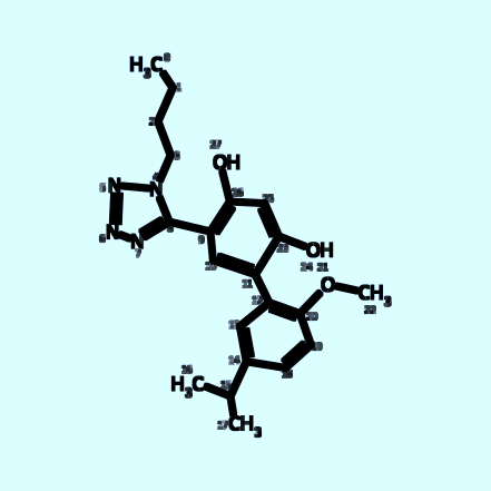 CCCCn1nnnc1-c1cc(-c2cc(C(C)C)ccc2OC)c(O)cc1O